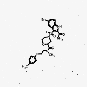 Cc1ccc(OCCN(C)C(=O)C2CN(S(=O)(=O)c3c(C(N)=O)[nH]c4ccc(Br)cc34)CCO2)cc1